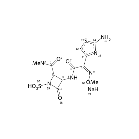 CNC(=O)C1C(NC(=O)/C(=N\OC)c2csc(N)n2)C(=O)N1S(=O)(=O)O.[NaH]